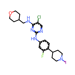 Fc1cc(Nc2ncc(Cl)c(NCC3CCOCC3)n2)ccc1C1CCN(I)CC1